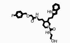 O=C(COCc1ccc(F)cc1)NCCC1CCN(C(=O)NCCO)CC1CCc1cc2ccccc2[nH]1